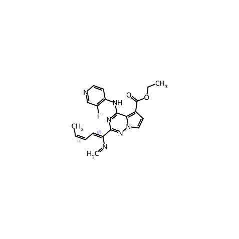 C=N/C(=C\C=C/C)c1nc(Nc2ccncc2F)c2c(C(=O)OCC)ccn2n1